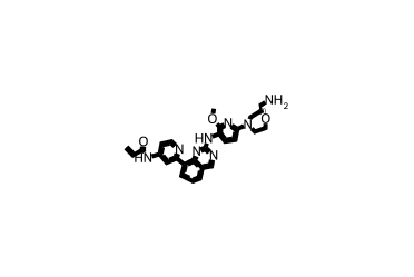 C=CC(=O)Nc1ccnc(-c2cccc3cnc(Nc4ccc(N5CCO[C@H](CN)C5)nc4OC)nc23)c1